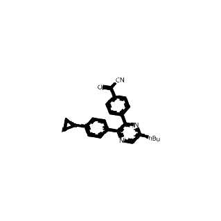 CCCCc1cnc(-c2ccc(C3CC3)cc2)c(-c2ccc(C(=O)C#N)cc2)n1